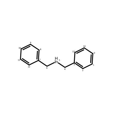 c1ccc([CH2][InH][CH2]c2ccccc2)cc1